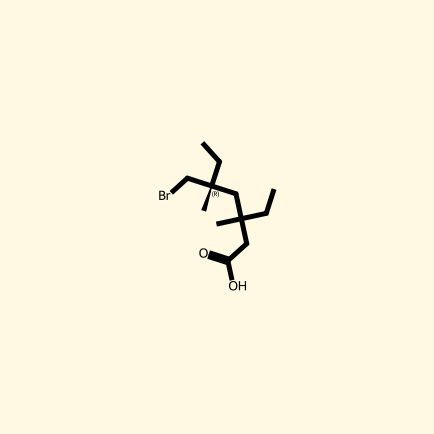 CCC(C)(CC(=O)O)C[C@@](C)(CC)CBr